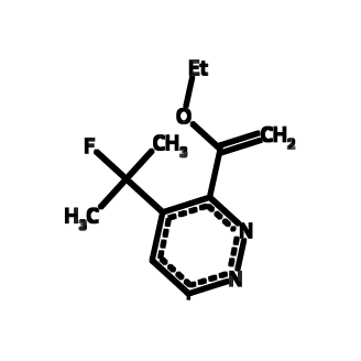 C=C(OCC)c1nn[c]cc1C(C)(C)F